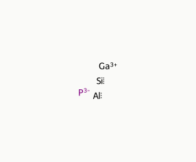 [Al].[Ga+3].[P-3].[Si]